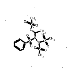 CC(OS(C)(=O)=O)N(N(S(C)(=O)=O)S(C)(=O)=O)S(=O)(=O)c1ccccc1